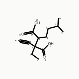 CCC(C#N)(C(=O)O)C(CCC(C)C)C(=O)O